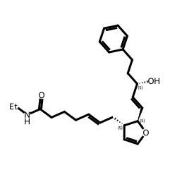 CCNC(=O)CCCC=CC[C@H]1C=CO[C@@H]1C=C[C@@H](O)CCc1ccccc1